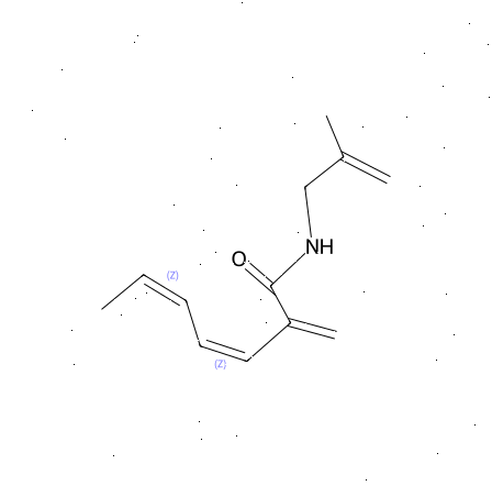 C=C(C)CNC(=O)C(=C)/C=C\C=C/C